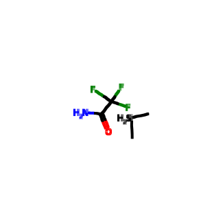 C[SiH2]C.NC(=O)C(F)(F)F